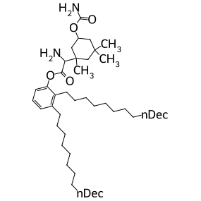 CCCCCCCCCCCCCCCCCCc1cccc(OC(=O)C(N)C2(C)CC(OC(N)=O)CC(C)(C)C2)c1CCCCCCCCCCCCCCCCCC